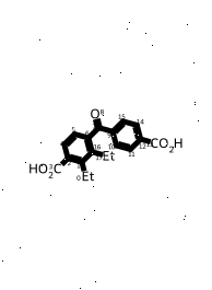 CCc1c(C(=O)O)ccc(C(=O)c2ccc(C(=O)O)cc2)c1CC